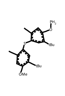 COc1cc(C)c(Sc2cc(C(C)(C)C)c(OP)cc2C)cc1C(C)(C)C